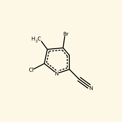 Cc1c(Br)cc(C#N)nc1Cl